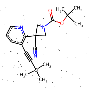 CC(C)(C)OC(=O)N1CC(C#N)(c2ncccc2C#C[Si](C)(C)C)C1